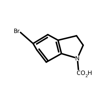 O=C(O)N1CCc2cc(Br)ccc21